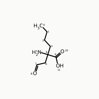 CCCCC(N)(CC=O)C(=O)O